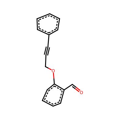 O=Cc1ccccc1OCC#Cc1ccccc1